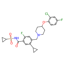 O=C(NS(=O)(=O)C1CC1)c1cc(C2CC2)c(CN2CCC(Oc3ccc(F)cc3Cl)CC2)cc1F